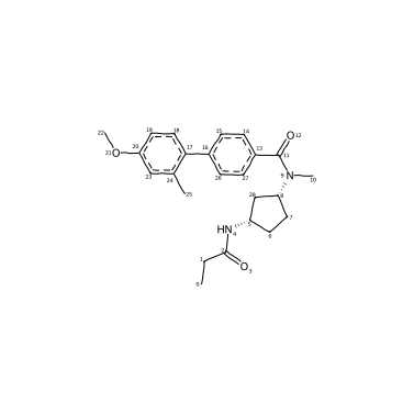 CCC(=O)N[C@H]1CC[C@@H](N(C)C(=O)c2ccc(-c3ccc(OC)cc3C)cc2)C1